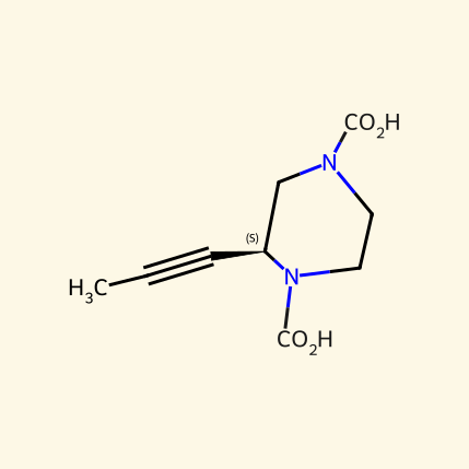 CC#C[C@H]1CN(C(=O)O)CCN1C(=O)O